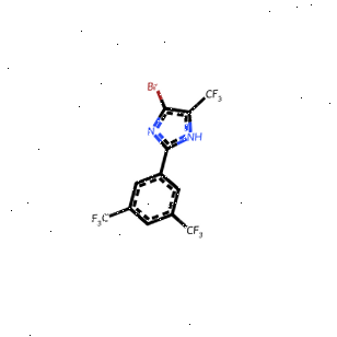 FC(F)(F)c1cc(-c2nc(Br)c(C(F)(F)F)[nH]2)cc(C(F)(F)F)c1